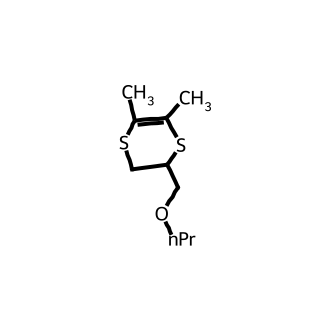 CCCOCC1CSC(C)=C(C)S1